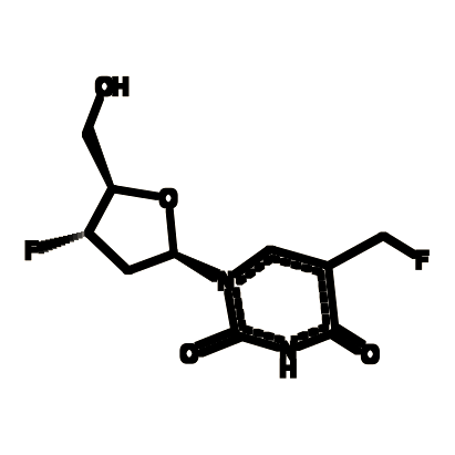 O=c1[nH]c(=O)n([C@H]2C[C@H](F)[C@@H](CO)O2)cc1CF